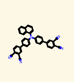 N#Cc1ccc(-c2ccc(N(c3ccc(-c4ccc(C#N)c(C#N)c4)cc3)c3cccc4ccccc34)cc2)cc1C#N